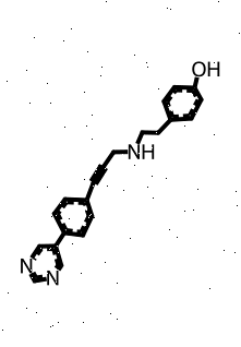 Oc1ccc(CCNCC#Cc2ccc(-c3cncnc3)cc2)cc1